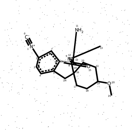 [C-]#[N+]c1ccc2c(c1)[C@@]1(N=C(N)N(C)C1=O)C1(CCC(OC)CC1)C2